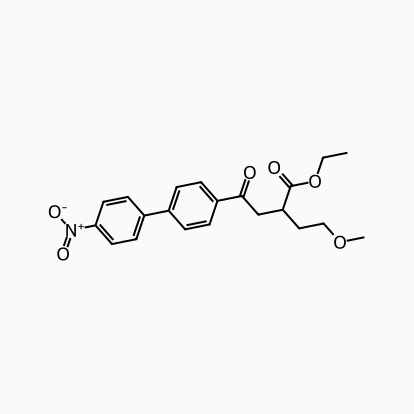 CCOC(=O)C(CCOC)CC(=O)c1ccc(-c2ccc([N+](=O)[O-])cc2)cc1